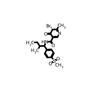 CCC(C)C(NC(=O)C1=CN=C(C)[C@@H](Br)C1=O)c1ccc(S(C)(=O)=O)cc1